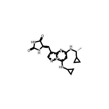 C[C@@H](Nc1cc(NC2CC2)n2ncc(/C=C3\NC(=O)NC3=O)c2n1)C1CC1